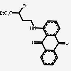 CCOC(=O)C(CC)CCNc1cccc2c1C(=O)c1ccccc1C2=O